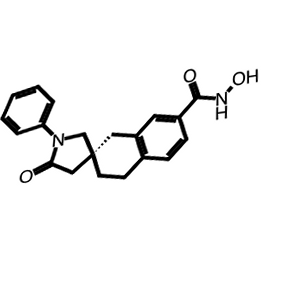 O=C(NO)c1ccc2c(c1)C[C@]1(CC2)CC(=O)N(c2ccccc2)C1